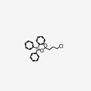 O=C(CCCCl)O[Si](c1ccccc1)(c1ccccc1)c1ccccc1